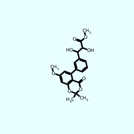 COC(=O)C(O)C(O)c1cccc(-c2cc(OC)cc3c2C(=O)OC(C)(C)O3)c1